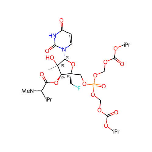 CNC(C(=O)O[C@@H]1[C@@](CF)(COP(=O)(OCOC(=O)OC(C)C)OCOC(=O)OC(C)C)O[C@@H](n2ccc(=O)[nH]c2=O)[C@]1(C)O)C(C)C